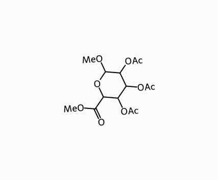 COC(=O)C1OC(OC)C(OC(C)=O)C(OC(C)=O)C1OC(C)=O